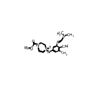 Cc1cc(N=S2(=O)CCN(C(=O)OC(C)(C)C)CC2)cc(N=CN(C)C)c1C#N